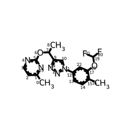 Cc1ccnc(OC(C)c2cn(-c3ccc(C)c(OC(F)F)c3)nn2)n1